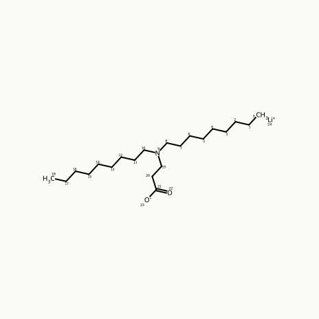 CCCCCCCCCN(CCCCCCCCC)CCC(=O)[O-].[Li+]